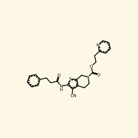 N#Cc1c(NC(=O)CCc2ccccc2)sc2c1CCN(C(=O)OCCc1ccccn1)C2